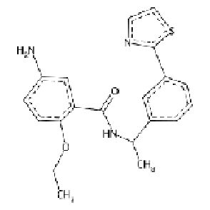 CCOc1ccc(N)cc1C(=O)NC(C)c1cccc(-c2nccs2)c1